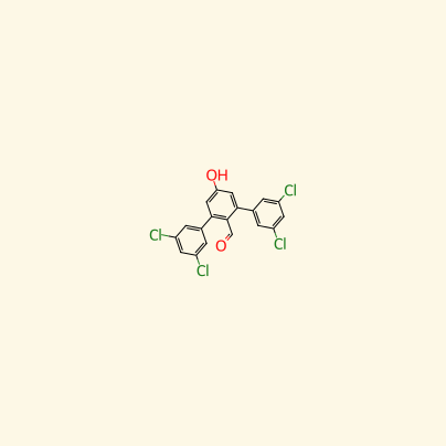 O=Cc1c(-c2cc(Cl)cc(Cl)c2)cc(O)cc1-c1cc(Cl)cc(Cl)c1